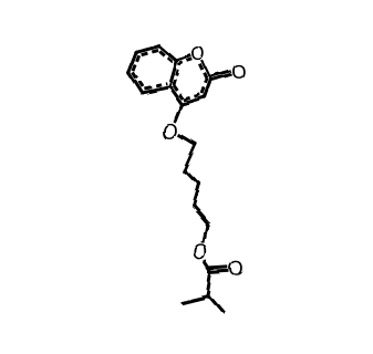 CC(C)C(=O)OCCCCCOc1cc(=O)oc2ccccc12